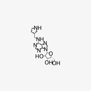 OC[C@H]1O[C@@H](n2cnc3c(NCc4cc[nH]c4)ncnc32)C(O)[C@H]1O